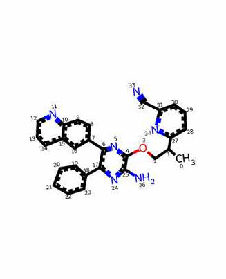 CC(COc1nc(-c2ccc3ncccc3c2)c(-c2ccccc2)nc1N)c1cccc(C#N)n1